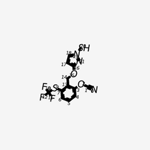 N#COc1cccc(SC(F)(F)F)c1COc1ccn(S)n1